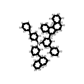 c1ccc(-c2ccc(N(c3cccc(-c4cccc5ccccc45)c3)c3cc(-c4ccccc4)cc(-c4cc5ccc6ccccc6c5c5ccccc45)c3)cc2)cc1